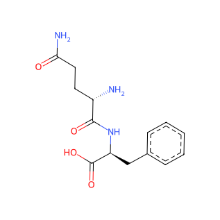 NC(=O)CC[C@H](N)C(=O)N[C@@H](Cc1ccccc1)C(=O)O